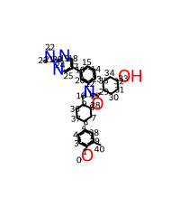 COc1ccc([C@H]2CC[C@H](CN(c3cccc(-c4cnc(N(C)C)nc4)c3)C(=O)[C@H]3CC[C@H](O)CC3)CC2)cc1C